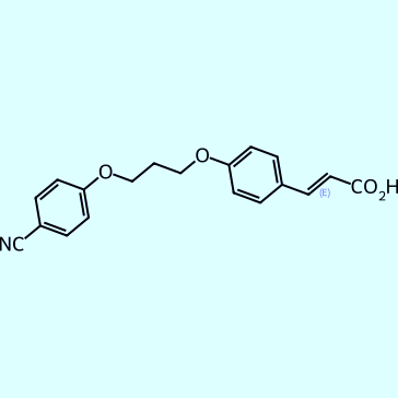 N#Cc1ccc(OCCCOc2ccc(/C=C/C(=O)O)cc2)cc1